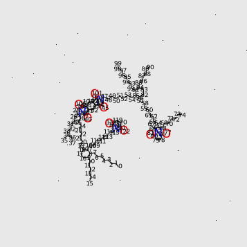 CCCCCCCCC1C(CCCCCC)CCC(CCCCCCCCC(C)(CCCCCC(C)CC)n2c(=O)c3cc4c(=O)n(CCCCCCCCC5C(CCCCCCCCC(CC)(CCCCCCC)N6C(=O)C=CC6=O)CCC(CCCCCC)C5CCCCCCCC)c(=O)c4cc3c2=O)C1CCCCCCCCN1C(=O)C=CC1=O